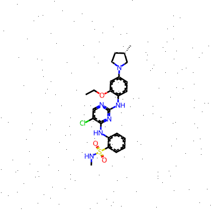 CCOc1cc(N2CC[C@H](C)C2)ccc1Nc1ncc(Cl)c(Nc2ccccc2S(=O)(=O)NC)n1